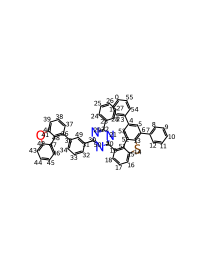 c1ccc(-c2cc(-c3ccccc3)c3sc4cccc(-c5nc(-c6ccccc6)nc(-c6cccc(-c7cccc8oc9ccccc9c78)c6)n5)c4c3c2)cc1